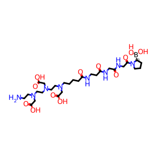 NCCN(CCN(CCN(CCCCC(=O)NCCC(=O)NCC(=O)NCC(=O)N1CCC[C@H]1B(O)O)CC(=O)O)CC(=O)O)CC(=O)O